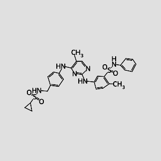 Cc1ccc(Nc2ncc(C)c(Nc3ccc(CNS(=O)(=O)C4CC4)cc3)n2)cc1S(=O)(=O)Nc1ccccc1